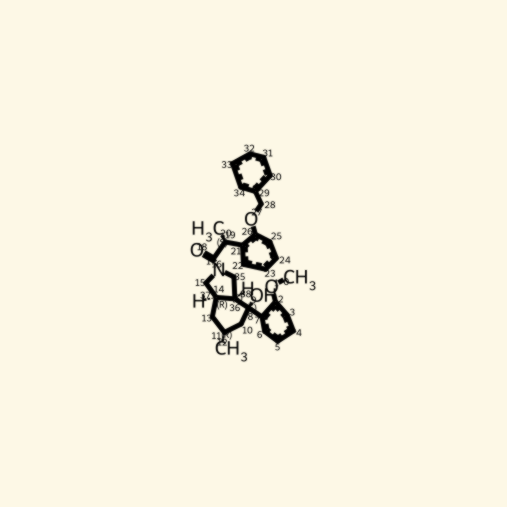 COc1ccccc1[C@]1(O)C[C@H](C)C[C@H]2CN(C(=O)[C@@H](C)c3ccccc3OCc3ccccc3)C[C@H]21